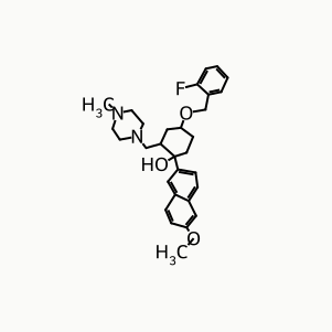 COc1ccc2cc(C3(O)CCC(OCc4ccccc4F)CC3CN3CCN(C)CC3)ccc2c1